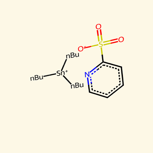 CCC[CH2][Sn+]([CH2]CCC)[CH2]CCC.O=S(=O)([O-])c1ccccn1